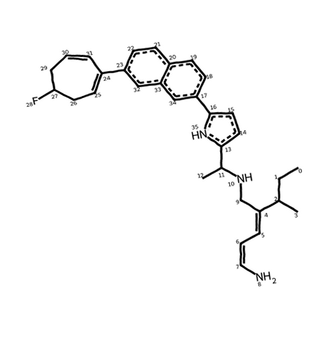 CCC(C)/C(=C/C=C\N)CNC(C)c1ccc(-c2ccc3ccc(C4=CCC(F)CC=C4)cc3c2)[nH]1